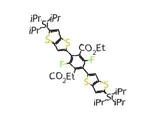 CCOC(=O)c1c(F)c(-c2cc3sc([Si](C(C)C)(C(C)C)C(C)C)cc3s2)c(C(=O)OCC)c(F)c1-c1cc2sc([Si](C(C)C)(C(C)C)C(C)C)cc2s1